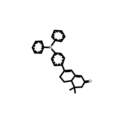 CC1(C)CC(=O)C=C2C=C(c3ccc(N(c4ccccc4)c4ccccc4)cc3)CCC21